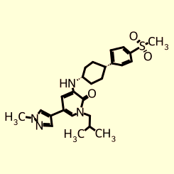 CC(C)Cn1cc(-c2cnn(C)c2)cc(N[C@H]2CC[C@@H](c3ccc(S(C)(=O)=O)cc3)CC2)c1=O